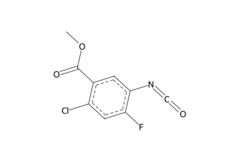 COC(=O)c1cc(N=C=O)c(F)cc1Cl